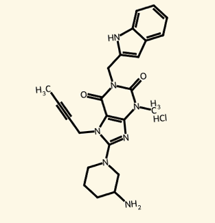 CC#CCn1c(N2CCCC(N)C2)nc2c1c(=O)n(Cc1cc3ccccc3[nH]1)c(=O)n2C.Cl